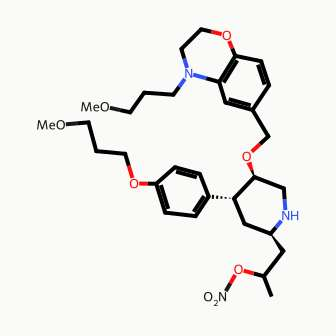 COCCCOc1ccc([C@H]2C[C@H](CC(C)O[N+](=O)[O-])NC[C@@H]2OCc2ccc3c(c2)N(CCCOC)CCO3)cc1